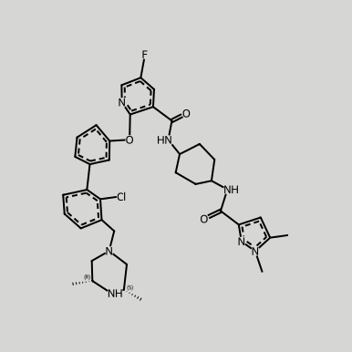 Cc1cc(C(=O)NC2CCC(NC(=O)c3cc(F)cnc3Oc3cccc(-c4cccc(CN5C[C@@H](C)N[C@@H](C)C5)c4Cl)c3)CC2)nn1C